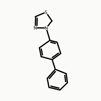 [C]1=NN(c2ccc(-c3ccccc3)cc2)CS1